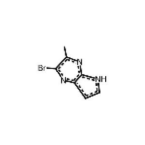 Cc1nc2[nH]ccc2nc1Br